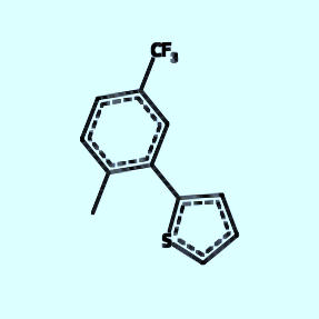 Cc1ccc(C(F)(F)F)cc1-c1cccs1